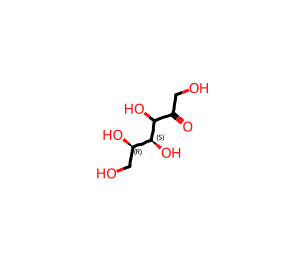 O=C(CO)C(O)[C@@H](O)[C@H](O)CO